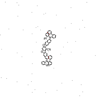 CC(C)c1ccccc1N(c1ccc2cc3c(cc2c1)oc1cc2oc4cc5cc(N(c6ccccc6-c6ccccc6)c6ccccc6C(C)C)ccc5cc4c2c(C#N)c13)c1ccccc1-c1ccccc1